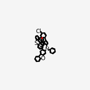 Clc1ccc2c(c1)C1(c3ccccc3Sc3ccccc31)c1cc(N(c3ccccc3)c3cc4oc5ccccc5c4cc3-c3cc4ccccc4s3)ccc1-2